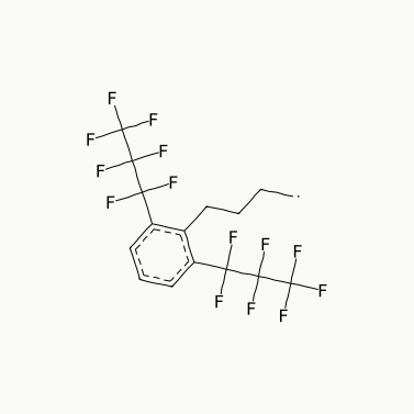 [CH2]CCCc1c(C(F)(F)C(F)(F)C(F)(F)F)cccc1C(F)(F)C(F)(F)C(F)(F)F